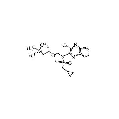 C[Si](C)(C)CCOCN(c1nc2ccccc2nc1Cl)S(=O)(=O)CC1CC1